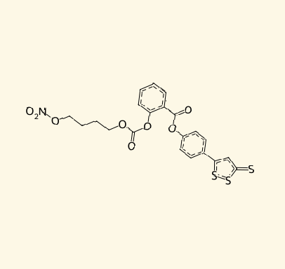 O=C(OCCCCO[N+](=O)[O-])Oc1ccccc1C(=O)Oc1ccc(-c2cc(=S)ss2)cc1